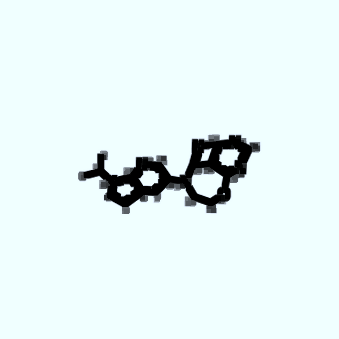 CC(C)n1ccc2cc(N3CCOc4ncnc5c4C3=N5)cnc21